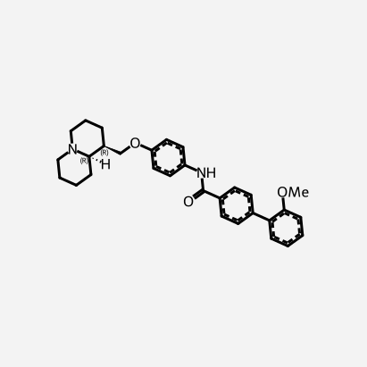 COc1ccccc1-c1ccc(C(=O)Nc2ccc(OC[C@@H]3CCCN4CCCC[C@H]34)cc2)cc1